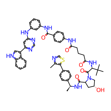 Cc1ncsc1-c1ccc([C@H](C)NC(=O)C2C[C@@H](O)CN2C(=O)[C@@H](NC(=O)CCCC(=O)Nc2ccc(C(=O)Nc3cccc(Nc4cc(-c5c[nH]c6ccccc56)ncn4)c3)cc2)C(C)(C)C)cc1